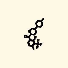 Cc1ccc(C(=O)[C@@H]2CCC(C3CCC(C)CC3)CO2)c(F)c1C(F)(F)F